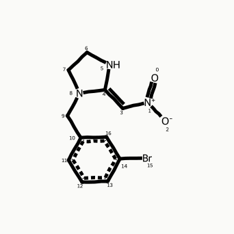 O=[N+]([O-])C=C1NCCN1Cc1cccc(Br)c1